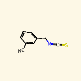 N#Cc1cccc(CN=C=S)c1